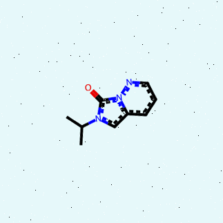 CC(C)n1cc2cccnn2c1=O